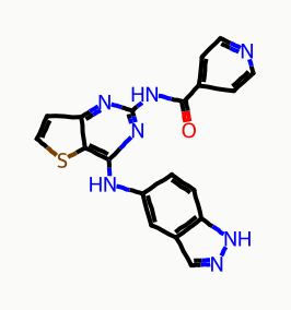 O=C(Nc1nc(Nc2ccc3[nH]ncc3c2)c2sccc2n1)c1ccncc1